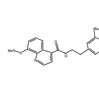 CSSc1cccc2c(C(=O)NCCc3cccc(C(C)(C)C)c3)ccnc12